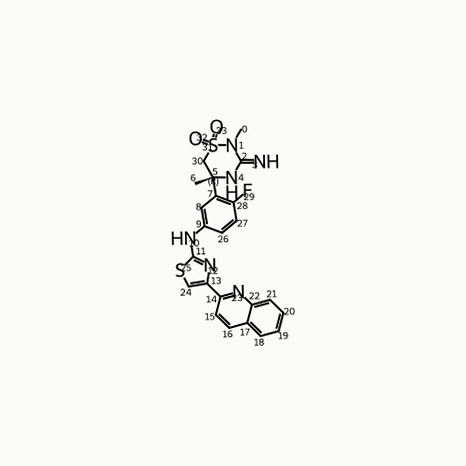 CN1C(=N)N[C@](C)(c2cc(Nc3nc(-c4ccc5ccccc5n4)cs3)ccc2F)CS1(=O)=O